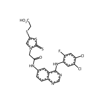 O=C(O)CSc1cn(CC(=O)Nc2ccc3ncnc(Nc4cc(Cl)c(Cl)cc4F)c3c2)c(=S)s1